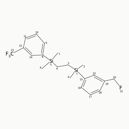 C[Si](C)(CC[Si](C)(C)c1cccc(C(F)(F)F)c1)c1cccc(CF)c1